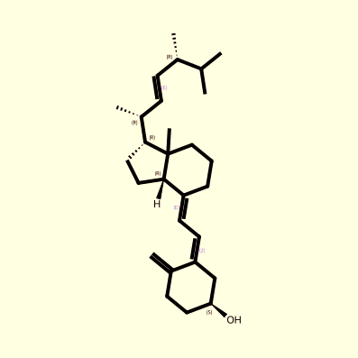 C=C1CC[C@H](O)C/C1=C/C=C1\CCCC2(C)[C@@H]([C@H](C)/C=C/[C@H](C)C(C)C)CC[C@@H]12